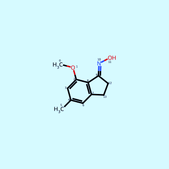 COc1cc(C)cc2c1/C(=N/O)CC2